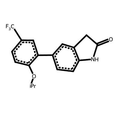 CC(C)Oc1ccc(C(F)(F)F)cc1-c1ccc2c(c1)CC(=O)N2